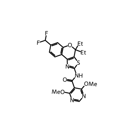 CCC1(CC)Oc2cc(C(F)F)ccc2-c2nc(NC(=O)c3c(OC)ncnc3OC)sc21